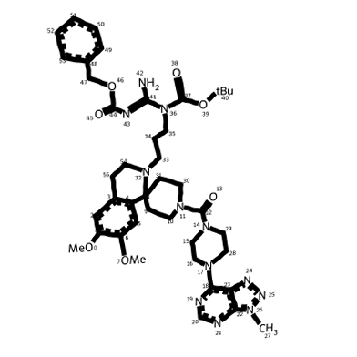 COc1cc2c(cc1OC)C1(CCN(C(=O)N3CCN(c4ncnc5c4nnn5C)CC3)CC1)N(CCCN(C(=O)OC(C)(C)C)C(N)=NC(=O)OCc1ccccc1)CC2